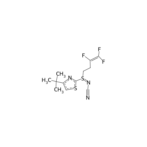 CC(C)(C)c1csc(/S(CCC(F)=C(F)F)=N\C#N)n1